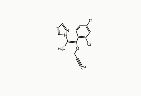 C#CCOC(=C(C)n1cncn1)c1ccc(Cl)cc1Cl